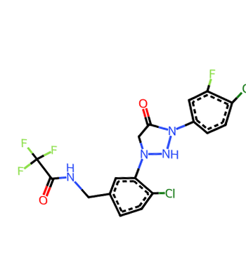 O=C1CN(c2cc(CNC(=O)C(F)(F)F)ccc2Cl)NN1c1ccc(Cl)c(F)c1